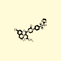 CC(C)CC(C(=O)N1CCN(c2ccc(S(=O)(=O)Nc3nccs3)cc2)C(=O)C1)N1CCCc2cc(Cl)ccc21